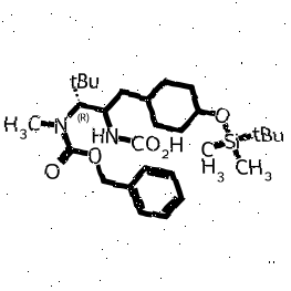 CN(C(=O)OCc1ccccc1)[C@@H](C(CC1CCC(O[Si](C)(C)C(C)(C)C)CC1)NC(=O)O)C(C)(C)C